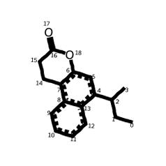 CCC(C)c1cc2c(c3ccccc13)CCC(=O)O2